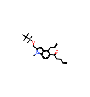 C=CCCC(=O)c1ccc2c(cc(CO[Si](C)(C)C(C)(C)C)n2C)c1CC=C